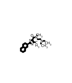 CCN(CC)CCN(C)C(=O)c1sc(-c2ccc3ccccc3c2)nc1C